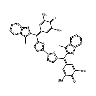 Cc1c(C(=C2C=C(C(C)(C)C)C(=O)C(C(C)(C)C)=C2)c2ccc(-c3ccc(C(=C4C=C(C(C)(C)C)C(=O)C(C(C)(C)C)=C4)c4sc5ccccc5c4C)s3)s2)sc2ccccc12